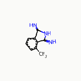 N=C1NC(=N)c2c1cccc2C(F)(F)F